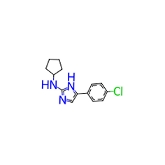 Clc1ccc(-c2cnc(NC3CCCC3)[nH]2)cc1